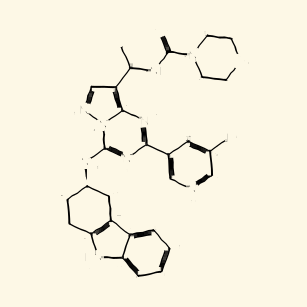 CC(NC(=O)N1CCOCC1)c1cnn2c(N[C@@H]3CCc4[nH]c5ccccc5c4C3)nc(-c3cncc(F)c3)nc12